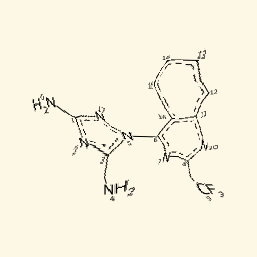 Nc1nc(N)n(-c2nc(C(F)(F)F)nc3ccccc23)n1